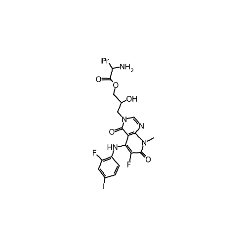 CC(C)C(N)C(=O)OCC(O)Cn1cnc2c(c(Nc3ccc(I)cc3F)c(F)c(=O)n2C)c1=O